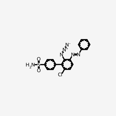 [N-]=[N+]=Nc1c(N=Nc2ccccc2)ccc(Cl)c1-c1ccc(S(N)(=O)=O)cc1